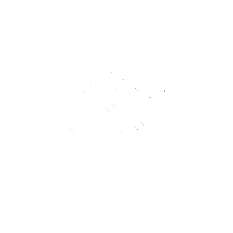 CC(C)Oc1ccc(-c2nnc(-c3ccc4c(c3)CCN(CCCC(=O)O)CC4)s2)cc1C#N.CC(C)Oc1ccc(-c2nnc(-c3ccc4c(c3)CCNCC4)s2)cc1C#N.Cl.O=C(O)C(F)(F)F